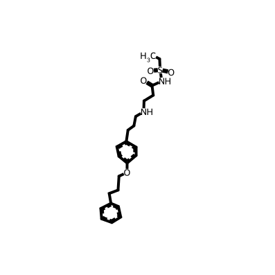 CCS(=O)(=O)NC(=O)CCNCCCc1ccc(OCCCc2ccccc2)cc1